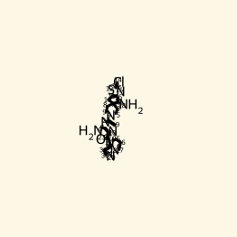 Nc1nc(N2CCC3(CC2)Cc2sc(Cl)nc2[C@H]3N)cnc1C(=O)N1CCCn2nccc21